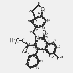 COC(=O)c1c(-c2ccccc2)c2cc(F)ccc2c(=O)n1Cc1ccc2c(c1)CCO2